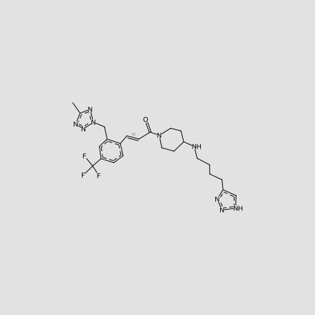 Cc1nnn(Cc2cc(C(F)(F)F)ccc2/C=C/C(=O)N2CCC(NCCCCc3c[nH]nn3)CC2)n1